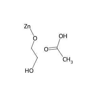 CC(=O)O.OCC[O][Zn]